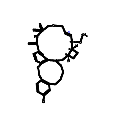 CO[C@@H]1/C=C/CCCS(=O)(=O)NC(=O)c2ccc3c(c2)N(CCCCc2cc(Cl)ccc2CO3)C[C@@H]2CC[C@H]21